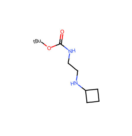 CC(C)(C)OC(=O)NCCNC1CCC1